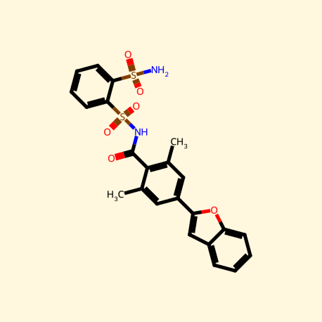 Cc1cc(-c2cc3ccccc3o2)cc(C)c1C(=O)NS(=O)(=O)c1ccccc1S(N)(=O)=O